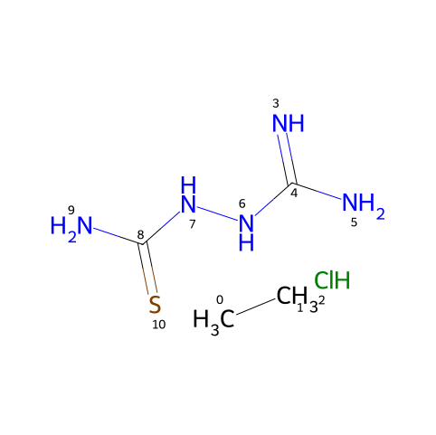 CC.Cl.N=C(N)NNC(N)=S